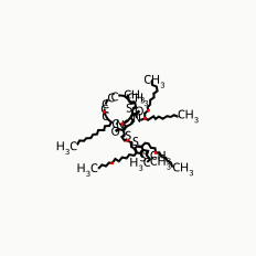 CCCCCCCCCCCCc1c2cc(C(C)(C)C)sc2c(CCCCCCCCCCCC)c2cc(-c3ccc(C4=c5cc6c7cc5N(CC(CCCCCCCCCCCC)CCCCCCCCCCC(C)(C)c5ccc(s5)C=7C(=O)N6CC(CCCCCCCCCC)CCCCCCCCCCCC)C4=O)s3)sc12